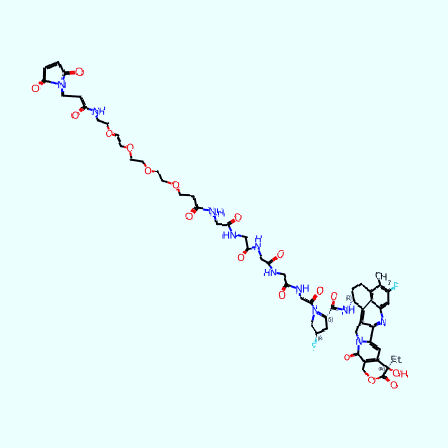 CC[C@]1(O)C(=O)OCc2c1cc1n(c2=O)Cc2c-1nc1cc(F)c(C)c3c1c2[C@H](NC(=O)[C@@H]1C[C@@H](F)CN1C(=O)CNC(=O)CNC(=O)CNC(=O)CNC(=O)CNC(=O)CCOCCOCCOCCOCCNC(=O)CCN1C(=O)C=CC1=O)CC3